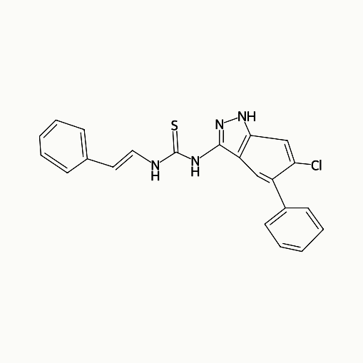 S=C(NC=Cc1ccccc1)Nc1n[nH]c2cc(Cl)c(-c3ccccc3)cc12